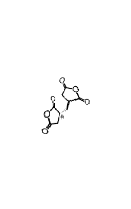 O=C1CC(C[C@@H]2CC(=O)OC2=O)C(=O)O1